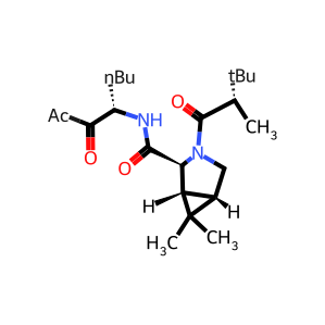 CCCC[C@H](NC(=O)[C@@H]1[C@@H]2[C@H](CN1C(=O)[C@@H](C)C(C)(C)C)C2(C)C)C(=O)C(C)=O